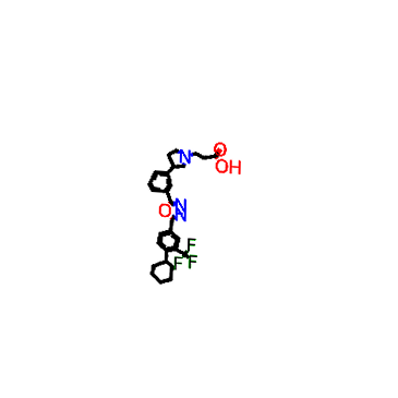 O=C(O)CCN1CCC(c2cccc(-c3nnc(-c4ccc(C5CCCCC5)c(C(F)(F)F)c4)o3)c2)C1